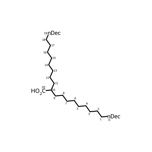 CCCCCCCCCCCCCCCCCCCC(CCCCCCCCCCCCCCCCCC)C(=O)O